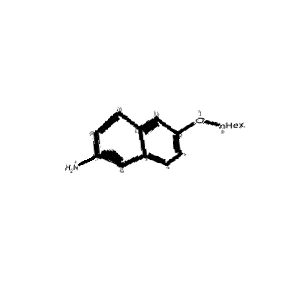 CCCCCCOc1ccc2cc(N)ccc2c1